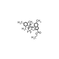 CCOC(=O)c1cc2cc(C)ccc2n1CC(NS(=O)(=O)c1c(C)cc(C)cc1C)C(F)(F)F